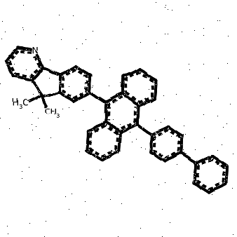 CC1(C)c2cc(-c3c4ccccc4c(-c4ccc(-c5ccccc5)cc4)c4ccccc34)ccc2-c2ncccc21